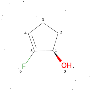 O[C@@H]1CCC=C1F